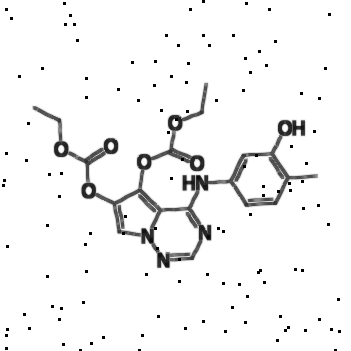 CCOC(=O)Oc1cn2ncnc(Nc3ccc(C)c(O)c3)c2c1OC(=O)OCC